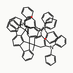 CC1(C)c2ccccc2-c2ccc3c(c21)C(c1cc(N(c2ccccc2)c2ccccc2)cc(N(c2ccccc2)c2ccccc2)c1)(C1(C)C=C(N(c2ccccc2)c2ccccc2)C=C(N(c2ccccc2)c2ccccc2)C1)c1ccccc1-3